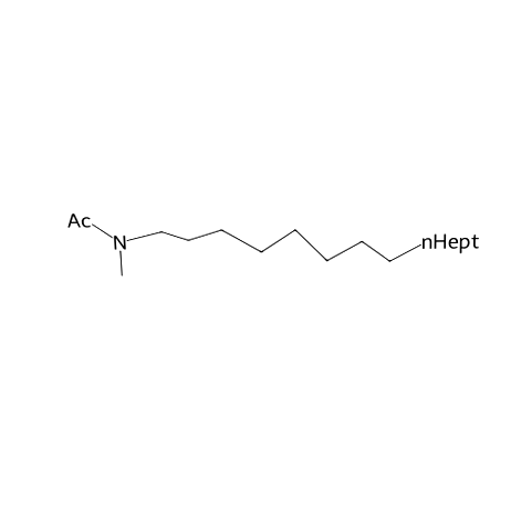 CCCCCCCCCCCCCCCN(C)C(C)=O